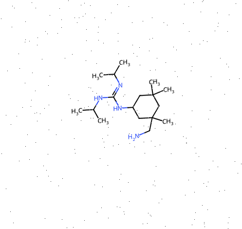 CC(C)N=C(NC(C)C)NC1CC(C)(C)CC(C)(CN)C1